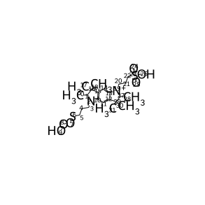 CC1=[N+](CCCSOOO)c2cc3c(cc2C1(C)C)[N+](CCCS(=O)(=O)O)=C(C)C3(C)C